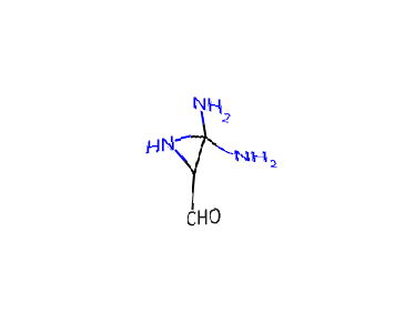 NC1(N)NC1C=O